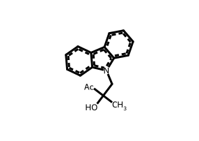 CC(=O)C(C)(O)Cn1c2ccccc2c2ccccc21